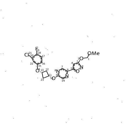 COCOc1cc(-c2cnc(O[C@H]3C[C@@H](Oc4ccc(F)c(Cl)c4)C3)cn2)on1